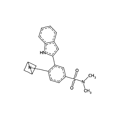 CN(C)S(=O)(=O)c1ccc(N2CC3CC2C3)c(-c2cc3ccccc3[nH]2)c1